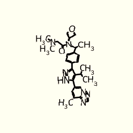 Cc1cc(-c2[nH]nc(-c3ccc(C(C)N(C(=O)CN(C)C)C4COC4)cc3)c2C(C)C)cn2ncnc12